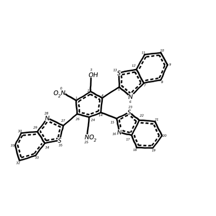 O=[N+]([O-])c1c(O)c(-c2nc3ccccc3s2)c(-c2nc3ccccc3s2)c([N+](=O)[O-])c1-c1nc2ccccc2s1